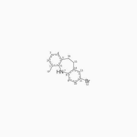 Cc1cccc2c1Nc1ccc(Br)cc1CC2